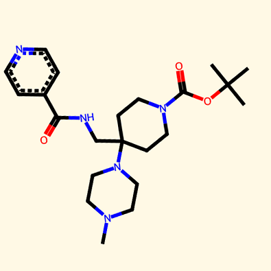 CN1CCN(C2(CNC(=O)c3ccncc3)CCN(C(=O)OC(C)(C)C)CC2)CC1